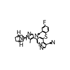 Cc1c(-c2cc(Sc3ccc(F)cc3C#N)c3c(C#N)cnn3c2)cnn1C1C[C@H]2CC[C@@H](C1)N2